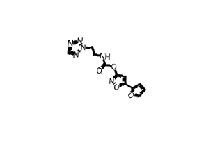 O=C(NCCn1ncnn1)Oc1cc(-c2ccco2)on1